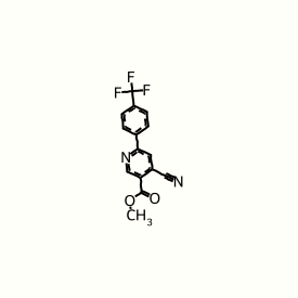 COC(=O)c1cnc(-c2ccc(C(F)(F)F)cc2)cc1C#N